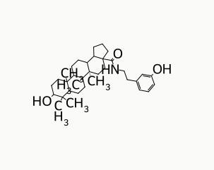 CC1(C)C(O)CCC2(C)C1CCC1(C)C2CCC2C3CCCC3(C(=O)NCCc3cccc(O)c3)CC[C@]21C